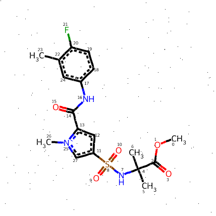 COC(=O)C(C)(C)NS(=O)(=O)c1cc(C(=O)Nc2ccc(F)c(C)c2)n(C)c1